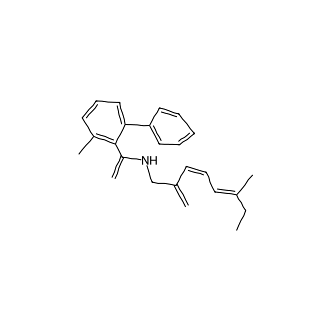 C=C(/C=C\C=C(/C)CC)CNC(=C)c1c(C)cccc1-c1ccccc1